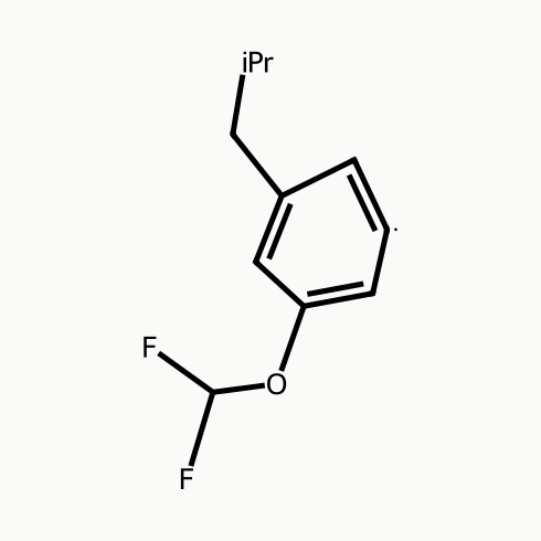 CC(C)Cc1c[c]cc(OC(F)F)c1